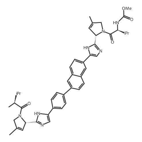 COC(=O)N[C@H](C(=O)N1CC(C)=C[C@H]1c1ncc(-c2ccc3cc(-c4ccc(-c5cnc([C@@H]6C=C(C)CN6C(=O)[C@@H](C)C(C)C)[nH]5)cc4)ccc3c2)[nH]1)C(C)C